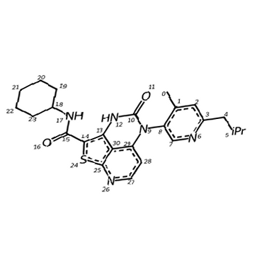 Cc1cc(CC(C)C)ncc1N1C(=O)Nc2c(C(=O)NC3CCCCC3)sc3nccc1c23